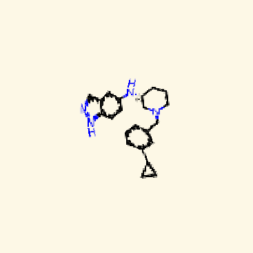 c1cc(CN2CCC[C@@H](Nc3ccc4[nH]ncc4c3)C2)cc(C2CC2)c1